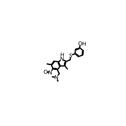 Cc1cc2[nH]c(CSc3cccc(O)c3)c(C)c2c(CN(C)C)c1N=O